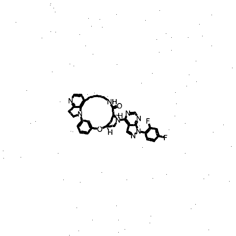 O=C1NCCCc2ccnc3c2N(CC3)c2cccc(c2)O[C@H]2C[C@@H]1N(c1ncnc3c1cnn3-c1ccc(F)cc1F)C2